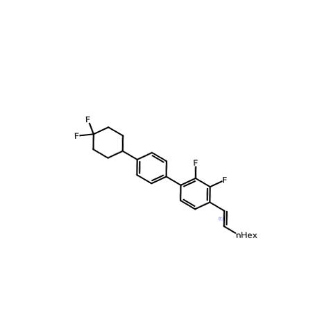 CCCCCC/C=C/c1ccc(-c2ccc(C3CCC(F)(F)CC3)cc2)c(F)c1F